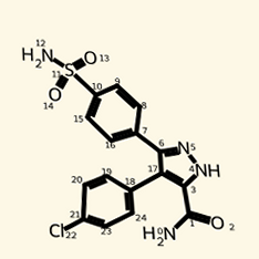 NC(=O)c1[nH]nc(-c2ccc(S(N)(=O)=O)cc2)c1-c1ccc(Cl)cc1